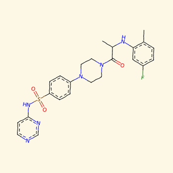 Cc1ccc(F)cc1NC(C)C(=O)N1CCN(c2ccc(S(=O)(=O)Nc3ccncn3)cc2)CC1